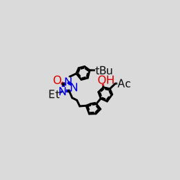 CCn1c(CCCc2cccc(-c3ccc(CC(C)=O)c(O)c3)c2)nn(Cc2ccc(C(C)(C)C)cc2)c1=O